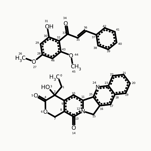 CCC1(O)C(=O)OCc2c1cc1n(c2=O)Cc2cc3ccccc3nc2-1.COc1cc(O)c(C(=O)C=Cc2ccccc2)c(OC)c1